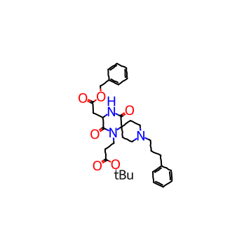 CC(C)(C)OC(=O)CCN1C(=O)C(CC(=O)OCc2ccccc2)NC(=O)C12CCN(CCCc1ccccc1)CC2